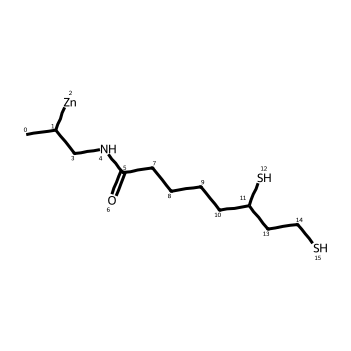 C[CH]([Zn])CNC(=O)CCCCC(S)CCS